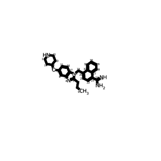 CCCc1nc2cc(OC3CCNCC3)ccc2n1Cc1ccc(C(=N)N)c2ccccc12